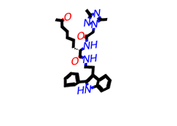 CC(=O)CCCCC[C@H](NC(=O)Cn1nc(C)nc1C)C(=O)NCCc1c(-c2ccccc2)[nH]c2ccccc12